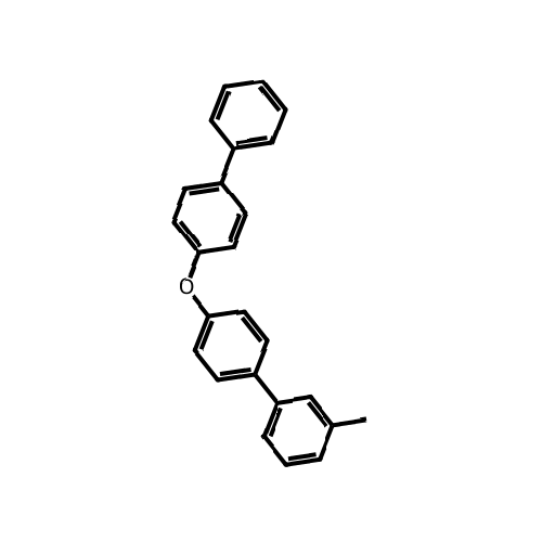 Cc1cccc(-c2ccc(Oc3ccc(-c4ccccc4)cc3)cc2)c1